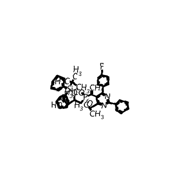 C=C(c1c(-c2ccc(F)cc2)nc(-c2ccccc2)nc1C(C)C)P(=O)(CC(CC(=O)O)O[Si](c1ccccc1)(c1ccccc1)C(C)(C)C)OC